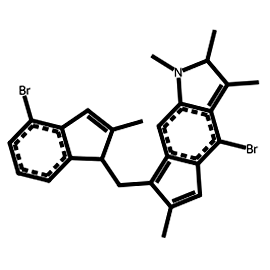 CC1=Cc2c(Br)c3c(cc2=C1CC1C(C)=Cc2c(Br)cccc21)N(C)C(C)C=3C